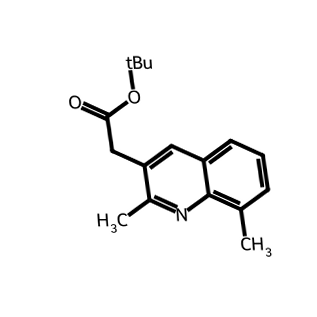 Cc1nc2c(C)cccc2cc1CC(=O)OC(C)(C)C